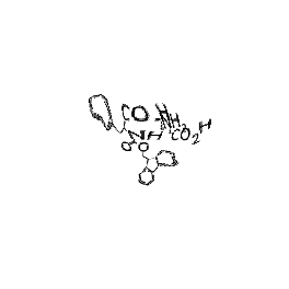 NCC(=O)O.O=C(NC(Cc1ccccc1)C(=O)O)OCC1c2ccccc2-c2ccccc21